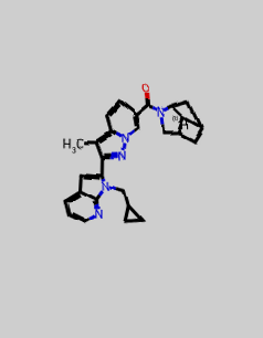 Cc1c(-c2cc3cccnc3n2CC2CC2)nn2cc(C(=O)N3CC4CC5CC3[C@H]54)ccc12